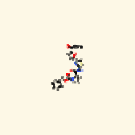 COC(=O)c1ccc(-c2csc(NC(=O)C3CCCN3C(=O)OCc3ccccc3)n2)o1